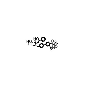 CC(C)Sc1cc(-c2ccc(C[C@@H](CO)N(C[C@@H](O)c3ccccc3)C(=O)O)cc2)ccc1C(=O)NS(C)(=O)=O